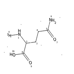 [2H]NC(CCC(N)=O)C(=O)O